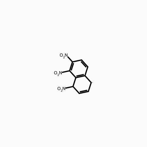 O=[N+]([O-])c1ccc2c(c1[N+](=O)[O-])C([N+](=O)[O-])C=C[CH]2